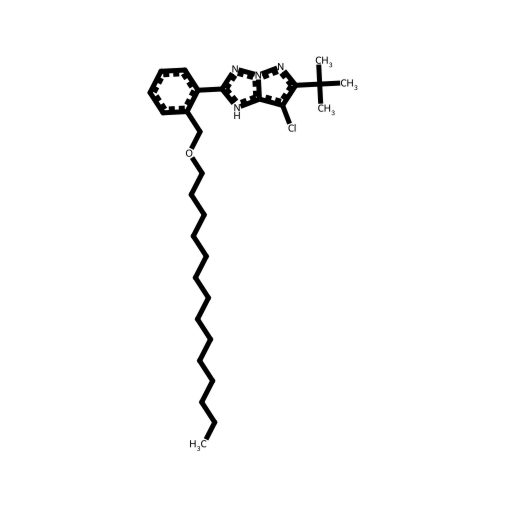 CCCCCCCCCCCCCCOCc1ccccc1-c1nn2nc(C(C)(C)C)c(Cl)c2[nH]1